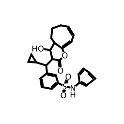 O=C1OC2=CC=CCCCC2C(O)C1C(c1cccc(S(=O)(=O)Nc2ccccc2)c1)C1CC1